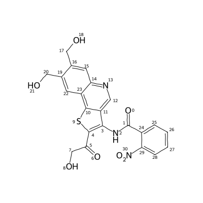 O=C(Nc1c(C(=O)CO)sc2c1cnc1cc(CO)c(CO)cc12)c1ccccc1[N+](=O)[O-]